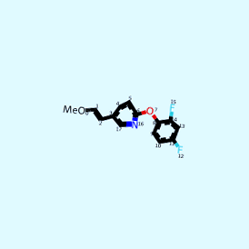 COC=Cc1ccc(Oc2ccc(F)cc2F)nc1